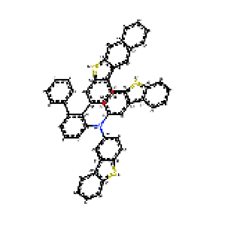 c1ccc(-c2cccc(N(c3ccc4sc5ccccc5c4c3)c3ccc4sc5ccccc5c4c3)c2-c2ccc3c(c2)sc2cc4ccccc4cc23)cc1